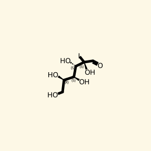 O=C[C@@](O)(I)[C@@H](O)[C@@H](O)[C@H](O)CO